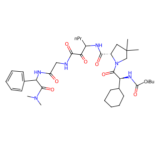 CCCC(NC(=O)[C@@H]1CC(C)(C)CN1C(=O)[C@@H](NC(=O)OCC(C)C)C1CCCCC1)C(=O)C(=O)NCC(=O)NC(C(=O)N(C)C)c1ccccc1